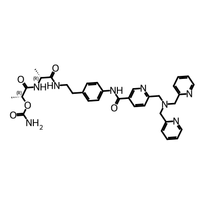 C[C@@H](NC(=O)[C@@H](C)OC(N)=O)C(=O)NCCc1ccc(NC(=O)c2ccc(CN(Cc3ccccn3)Cc3ccccn3)nc2)cc1